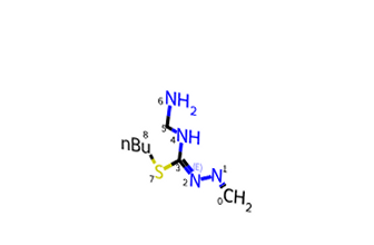 C=N/N=C(\NCN)SCCCC